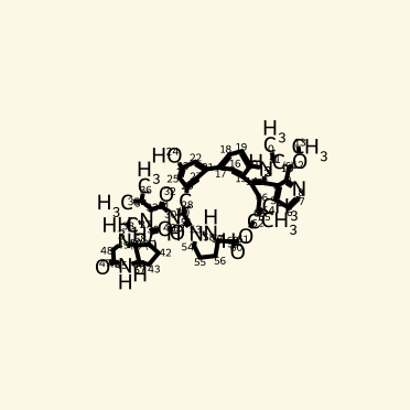 CCn1c(-c2cccnc2[C@H](C)OC)c2c3cc(ccc31)-c1cc(O)cc(c1)C[C@H](NC(=O)C(C(C)C)N(C)C(=O)[C@H]1CC[C@H]3NC(=O)CN[C@@H]13)C(=O)N1CCC[C@H](N1)C(=O)OCC(C)(C)C2